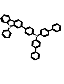 c1ccc2c3ccc(-c4ccc(N(c5ccc(-c6ccccc6)cc5)c5ccc(-c6ccccc6)cc5)cc4)cc3n(-c3ccccc3)c2c#1